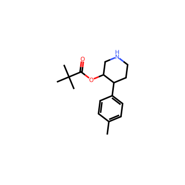 Cc1ccc(C2CCNCC2OC(=O)C(C)(C)C)cc1